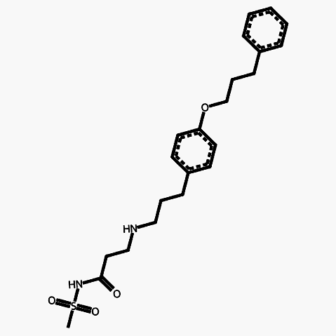 CS(=O)(=O)NC(=O)CCNCCCc1ccc(OCCCc2ccccc2)cc1